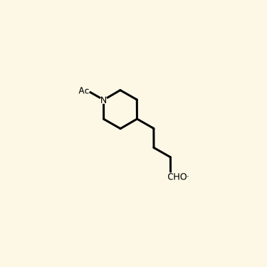 CC(=O)N1CCC(CCC[C]=O)CC1